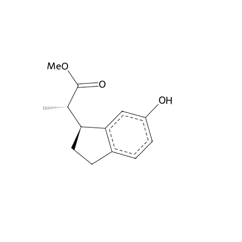 COC(=O)[C@@H](C)[C@@H]1CCc2ccc(O)cc21